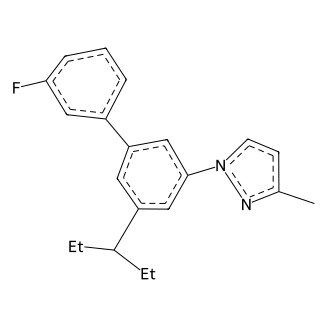 CCC(CC)c1cc(-c2cccc(F)c2)cc(-n2ccc(C)n2)c1